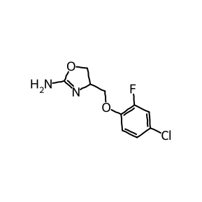 NC1=NC(COc2ccc(Cl)cc2F)CO1